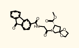 COC(=O)[C@@H]1CC2(CN1C(=O)CNC(=O)c1ccc3c(c1)-c1ccccc1C3=O)OCCO2